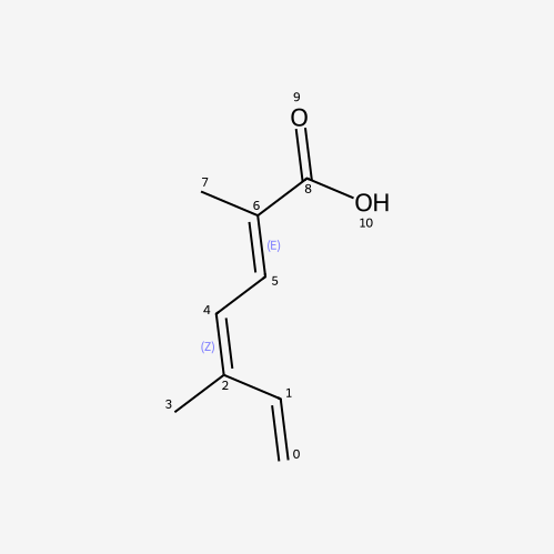 C=C/C(C)=C\C=C(/C)C(=O)O